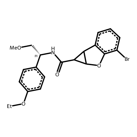 CCOc1ccc([C@H](COC)NC(=O)C2C3Oc4c(Br)cccc4C32)cc1